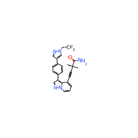 CC(C)(C#Cc1cccn2ncc(-c3ccc(-c4cnn(CC(F)(F)F)c4)cc3)c12)C(N)=O